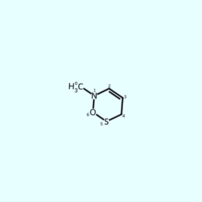 CN1C=CCSO1